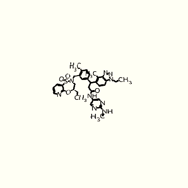 CC[C@@H]1CN(Cc2cc(C(CC(=O)Nc3cnc(NC)nc3)c3ccc4c(nnn4CC)c3C)ccc2C)S(=O)(=O)c2cccnc2O1